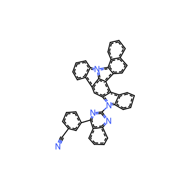 N#Cc1cccc(-c2nc(-n3c4ccccc4c4c5c6ccc7ccccc7c6n6c7ccccc7c(cc43)c56)nc3ccccc23)c1